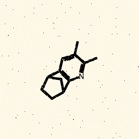 Cc1cc2c(nc1C)C1CCC2C1